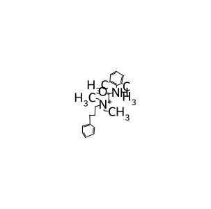 CC[N+](CC)(CCCc1ccccc1)CC(=O)Nc1c(C)cccc1C